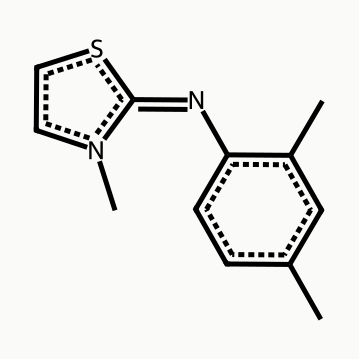 Cc1ccc(/N=c2/sccn2C)c(C)c1